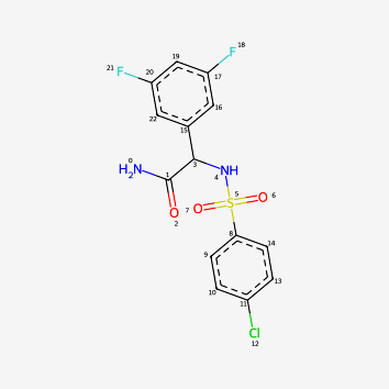 NC(=O)C(NS(=O)(=O)c1ccc(Cl)cc1)c1cc(F)cc(F)c1